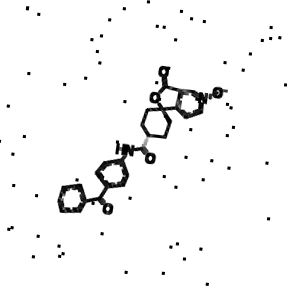 O=C(c1ccccc1)c1ccc(NC(=O)[C@H]2CC[C@@]3(CC2)OC(=O)c2c[n+]([O-])ccc23)cc1